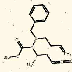 C=CCCN(Cc1ccccc1)N(C(=O)OC(C)(C)C)[C@@H](C)CC=C=O